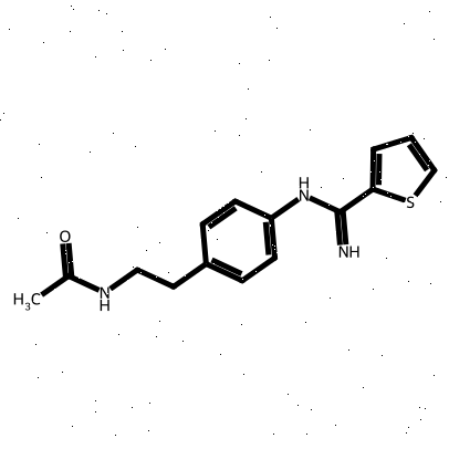 CC(=O)NCCc1ccc(NC(=N)c2cccs2)cc1